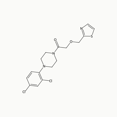 O=C(COCc1nccs1)N1CCN(c2ccc(Cl)cc2Cl)CC1